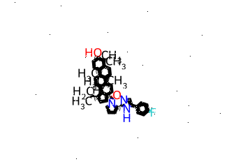 C=C(C)[C@@H]1CC[C@]2(C(=O)N3CCC[C@H]3c3ncc(-c4ccc(F)cc4)[nH]3)CC[C@]3(C)[C@H](CCC4[C@@]5(C)CC[C@H](O)C(C)(C)C5CC[C@]43C)C12